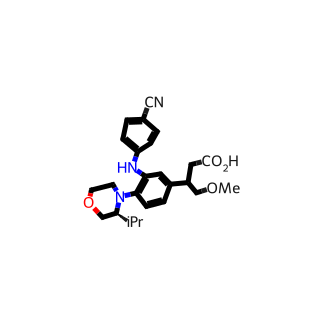 COCC(CC(=O)O)c1ccc(N2CCOC[C@@H]2C(C)C)c(Nc2ccc(C#N)cc2)c1